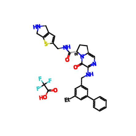 CCc1cc(CNc2ncc3n(c2=O)[C@H](C(=O)NCc2cc4c(s2)CNC4)CC3)cc(-c2ccccc2)c1.O=C(O)C(F)(F)F